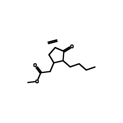 C=C.CCCCC1C(=O)CCC1CC(=O)OC